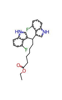 CCOC(=O)CCCCCC(c1c[nH]c2cccc(F)c12)c1c[nH]c2cccc(F)c12